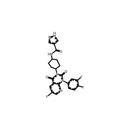 O=C(NC1CCC(n2c(=O)c3cc(F)cnc3n(-c3ccc(F)c(F)c3)c2=O)CC1)c1cn[nH]c1